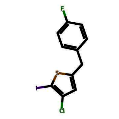 Fc1ccc(Cc2cc(Cl)c(I)s2)cc1